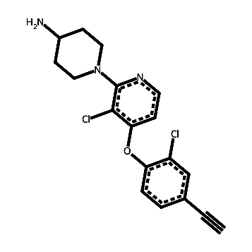 C#Cc1ccc(Oc2ccnc(N3CCC(N)CC3)c2Cl)c(Cl)c1